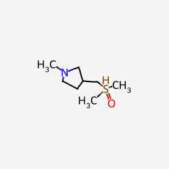 CN1CCC(C[SH](C)(C)=O)C1